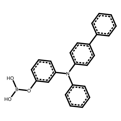 OB(O)Oc1cccc(N(c2ccccc2)c2ccc(-c3ccccc3)cc2)c1